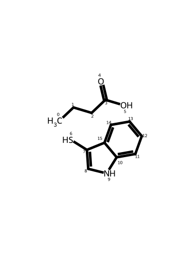 CCCC(=O)O.Sc1c[nH]c2ccccc12